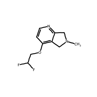 CN1Cc2nccc(OCC(F)F)c2C1